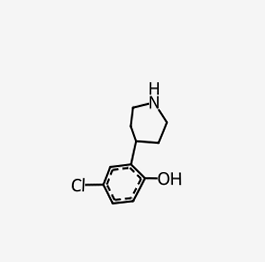 Oc1ccc(Cl)cc1C1CCNCC1